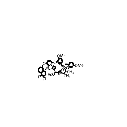 COc1ccc(CN(Cc2ccc(OC)cc2)S(=O)(=O)[C@H](C)[C@@H](C)[C@H]2C=C(C(OC(C)=O)[C@@H]3CC[C@H]3CN3C[C@@]4(CCCc5c4ccc(Cl)c5F)COc4ccc(C(=O)O)nc43)C2)cc1